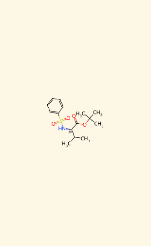 CC(C)[C@@H](NS(=O)(=O)c1ccccc1)C(=O)OC(C)(C)C